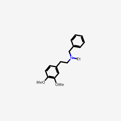 CCN(CCc1ccc(OC)c(OC)c1)Cc1ccccc1